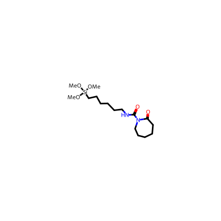 CO[Si](CCCCCCNC(=O)N1CCCCCC1=O)(OC)OC